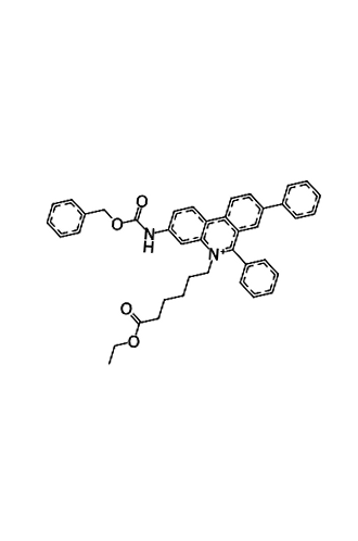 CCOC(=O)CCCCC[n+]1c(-c2ccccc2)c2cc(-c3ccccc3)ccc2c2ccc(NC(=O)OCc3ccccc3)cc21